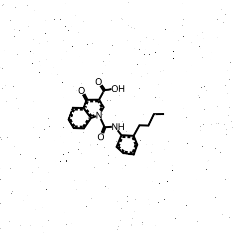 CCCCc1ccccc1NC(=O)n1cc(C(=O)O)c(=O)c2ccccc21